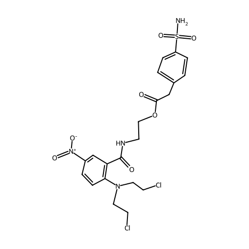 NS(=O)(=O)c1ccc(CC(=O)OCCNC(=O)c2cc([N+](=O)[O-])ccc2N(CCCl)CCCl)cc1